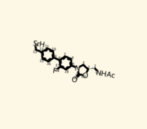 CC(=O)NC[C@H]1CN(c2ccc(-c3ccc([CH2][SrH])cc3)c(F)c2)C(=O)O1